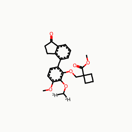 [2H]C([2H])Oc1c(OC)ccc(-c2cccc3c2CCC3=O)c1OCC1(C(=O)OC)CCC1